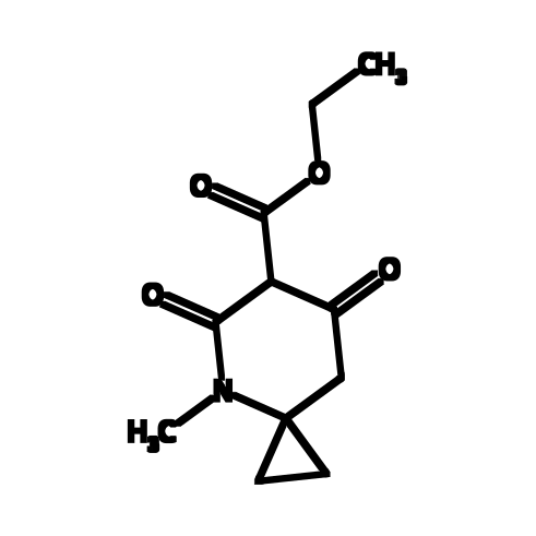 CCOC(=O)C1C(=O)CC2(CC2)N(C)C1=O